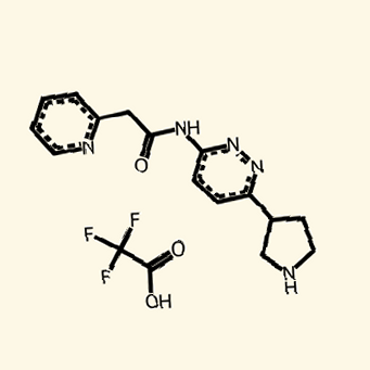 O=C(Cc1ccccn1)Nc1ccc(C2CCNC2)nn1.O=C(O)C(F)(F)F